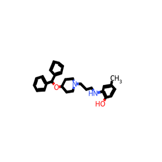 Cc1ccc(O)c(NCCCN2CCC(OC(c3ccccc3)c3ccccc3)CC2)c1